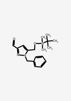 CC(C)(C)[Si](C)(C)OCc1cc(C=O)nn1Cc1ccccc1